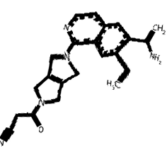 C=C(N)c1cc2ccnc(N3CC4=C(CN(C(=O)CC#N)C4)C3)c2cc1CC